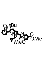 COC(=O)c1cc(OC)n2c(C)c(-c3cc4ccc(C5=CCCCN5C(=O)OC(C)(C)C)nc4n3CC3CC3)nc2c1